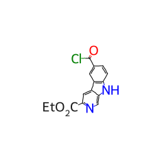 CCOC(=O)c1cc2c(cn1)[nH]c1ccc(C(=O)Cl)cc12